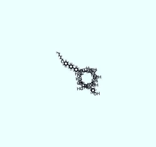 CCCCCCOc1ccc(-c2ccc(-c3ccc(C(=O)N[C@H]4C[C@@H](O)[C@@H](O)NC(=O)C5[C@@H](O)[C@@H](C)CN5C(=O)C([C@@H](C)O)NC(=O)C([C@H](O)[C@@H](O)c5ccc(O)cc5)NC(=O)[C@@H]5C[C@@H](O)CN5C(=O)C([C@@H](C)O)NC4=O)cc3)cc2)cc1